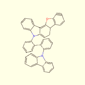 c1ccc2c(c#1)OC1=c3c(n(-c4ccccc4-c4ccccc4-n4c5ccccc5c5ccccc54)c4ccccc34)=CCC12